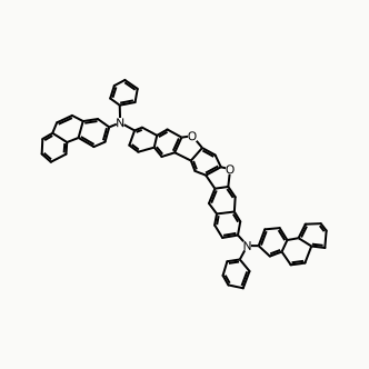 c1ccc(N(c2ccc3cc4c(cc3c2)oc2cc3oc5cc6cc(N(c7ccccc7)c7ccc8c(ccc9ccccc98)c7)ccc6cc5c3cc24)c2ccc3c(ccc4ccccc43)c2)cc1